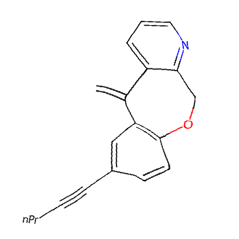 C=C1c2cc(C#CCCC)ccc2OCc2ncccc21